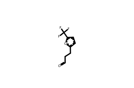 O=CCCc1ccc(C(F)(F)F)o1